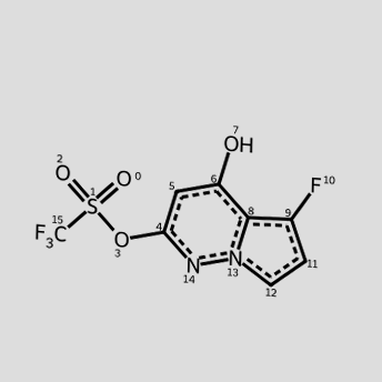 O=S(=O)(Oc1cc(O)c2c(F)ccn2n1)C(F)(F)F